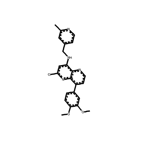 COc1ccc(-c2ccnc3c(NCc4ccnc(C)c4)cc(Cl)nc23)cc1OC